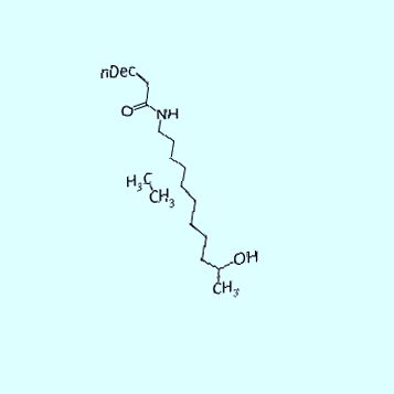 CC.CCCCCCCCCCCC(=O)NCCCCCCCCCC(C)O